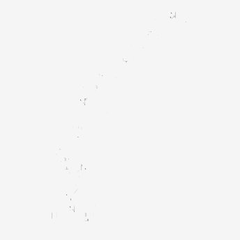 Cn1nc(-c2nc3cc(OCc4ccc(OCCOCCOCCN)cn4)ccc3o2)ccc1=O